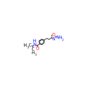 CC(C)NC(=O)c1ccc(CCC2COC(N)=N2)cc1